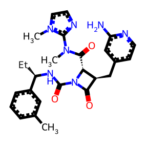 CC[C@@H](NC(=O)N1C(=O)[C@H](Cc2ccnc(N)c2)[C@H]1C(=O)N(C)c1nccn1C)c1cccc(C)c1